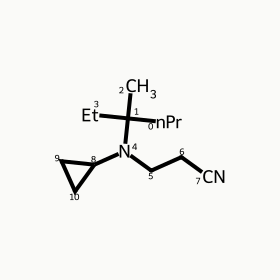 CCCC(C)(CC)N(CCC#N)C1CC1